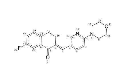 O=C1/C(=C/c2ccc(N3CCOCC3)nc2)CCc2ccc(F)cc21